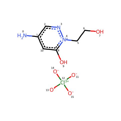 Nc1cn[n+](CCO)c(O)c1.[O-][Cl+3]([O-])([O-])[O-]